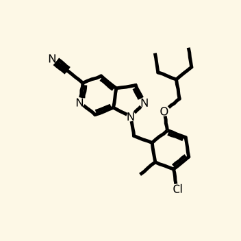 CCC(CC)COC1=CC=C(Cl)C(C)C1Cn1ncc2cc(C#N)ncc21